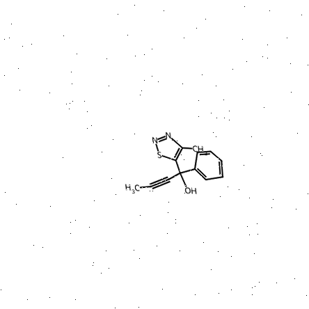 CC#CC(O)(c1ccccc1)c1snnc1C